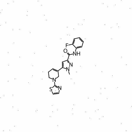 Cn1nc(C(=O)Nc2ccccc2F)cc1C1=CCCN(c2nccs2)C1